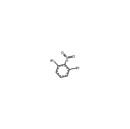 CC(C)c1cccc(C(C)C)c1[SH](=O)=O